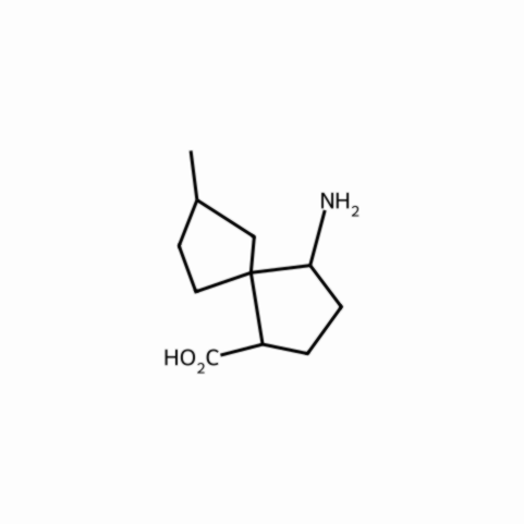 CC1CCC2(C1)C(N)CCC2C(=O)O